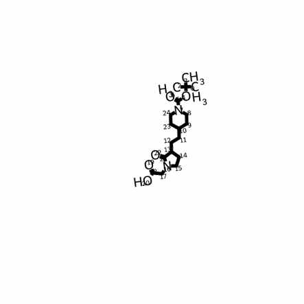 CC(C)(C)OC(=O)N1CCC(CCC2CCN(CC(=O)O)C2=O)CC1